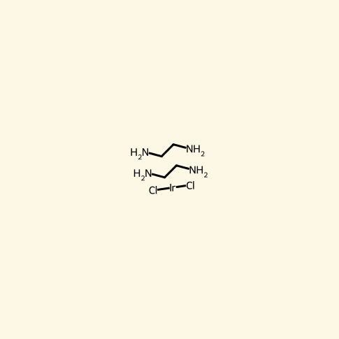 NCCN.NCCN.[Cl][Ir][Cl]